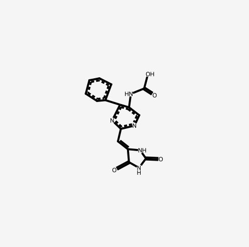 O=C(O)Nc1cnc(/C=C2\NC(=O)NC2=O)nc1-c1ccccc1